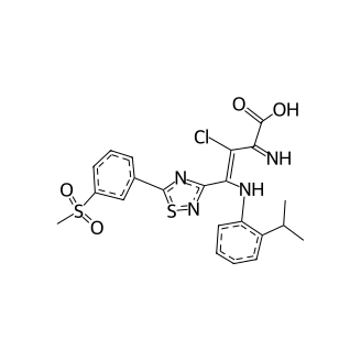 CC(C)c1ccccc1N/C(=C(/Cl)C(=N)C(=O)O)c1nsc(-c2cccc(S(C)(=O)=O)c2)n1